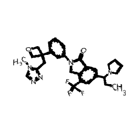 CCC(c1cc2c(c(C(F)(F)F)c1)CN(c1cccc(C3(Cc4nncn4C)COC3)c1)C2=O)N1CCCC1